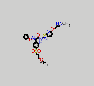 CNCCCOc1ccc2nc(NC(=O)/C(=N/OC3CCCC3)c3ccc(S(=O)(=O)CCCOC)cc3)sc2n1